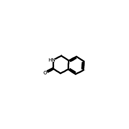 O=C1Cc2c[c]ccc2[CH]N1